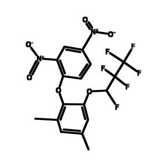 Cc1cc(C)c(Oc2ccc([N+](=O)[O-])cc2[N+](=O)[O-])c(OC(F)C(F)(F)C(F)(F)F)c1